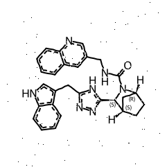 O=C(NCc1cnc2ccccc2c1)N1[C@@H]2CC[C@@H](C2)[C@H]1c1nnc(Cc2c[nH]c3ccccc23)[nH]1